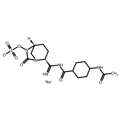 CC(=O)NC1CCC(C(=O)NC(=N)[C@@H]2CC[C@@H]3CN2C(=O)N3OS(=O)(=O)[O-])CC1.[Na+]